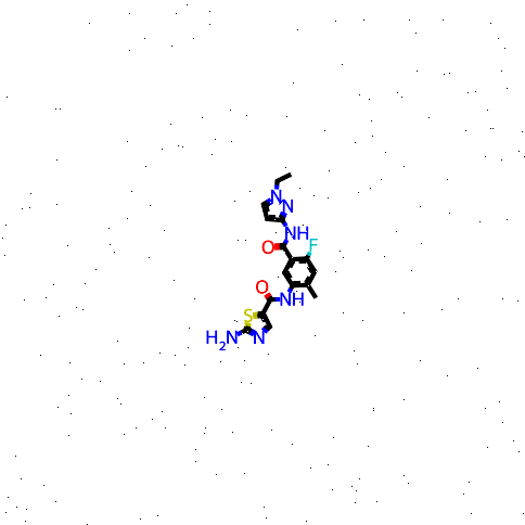 CCn1ccc(NC(=O)c2cc(NC(=O)c3cnc(N)s3)c(C)cc2F)n1